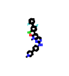 CN1CCC(c2ccc(Nc3ncc4cc(-c5cc(F)c(-c6ccccc6F)cc5Cl)c(=O)n(C)c4n3)cc2)CC1